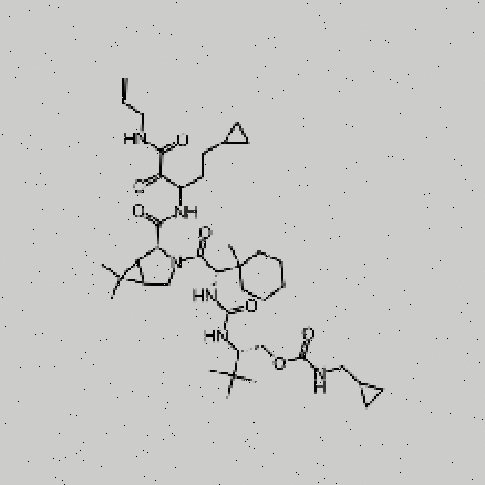 C=CCNC(=O)C(=O)C(CCC1CC1)NC(=O)[C@@H]1C2C(CN1C(=O)[C@@H](NC(=O)N[C@H](COC(=O)NCC1CC1)C(C)(C)C)C1(C)CCCCC1)C2(C)C